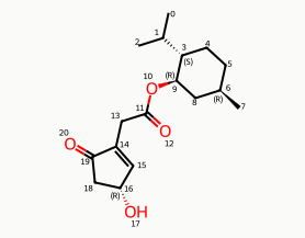 CC(C)[C@@H]1CC[C@@H](C)C[C@H]1OC(=O)CC1=C[C@H](O)CC1=O